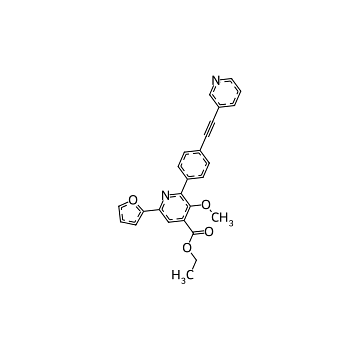 CCOC(=O)c1cc(-c2ccco2)nc(-c2ccc(C#Cc3cccnc3)cc2)c1OC